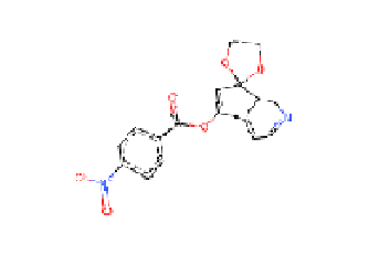 O=C(OC1=CC2(OCCO2)C2CN=CC=C12)c1ccc([N+](=O)[O-])cc1